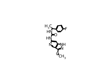 COc1n[nH]c2cc(NC(=O)NC(C)c3ccc(F)cc3)ncc12